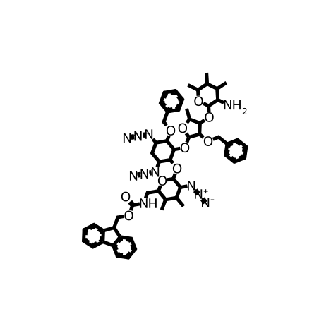 CC1OC(OC2C(C)OC(OC3C(OCc4ccccc4)C(N=[N+]=[N-])CC(N=[N+]=[N-])C3OC3OC(CNC(=O)OCC4c5ccccc5-c5ccccc54)C(C)C(C)C3N=[N+]=[N-])C2OCc2ccccc2)C(N)C(C)C1C